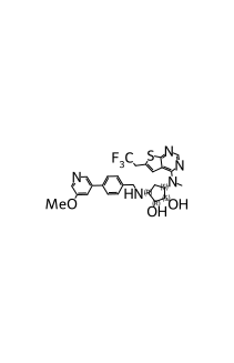 COc1cncc(-c2ccc(CN[C@@H]3C[C@H](N(C)c4ncnc5sc(CC(F)(F)F)cc45)[C@H](O)[C@@H]3O)cc2)c1